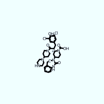 O=C(C(Cc1cc(Cl)c(O)c(Cl)c1)[C@H]1CC(N2CCc3ccccc3NC2=O)CCN1C(=O)O)N1CCC(N2CCNCC2)CC1